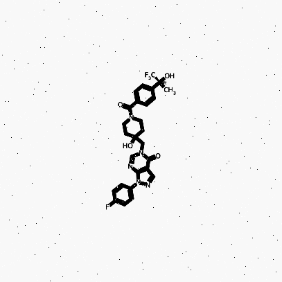 C[C@@](O)(c1ccc(C(=O)N2CCC(O)(Cn3cnc4c(cnn4-c4ccc(F)cc4)c3=O)CC2)cc1)C(F)(F)F